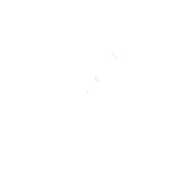 CCC1(N2CCNCC2)CC(C)CCC(C)C1